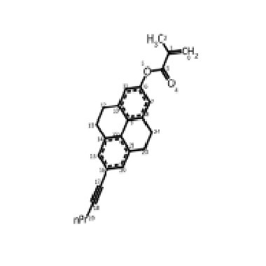 C=C(C)C(=O)Oc1cc2c3c(c1)CCc1cc(C#CCCC)cc(c1-3)CC2